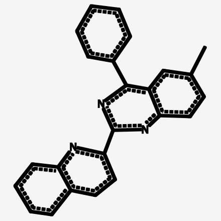 Cc1ccc2nc(-c3ccc4ccccc4n3)nc(-c3ccccc3)c2c1